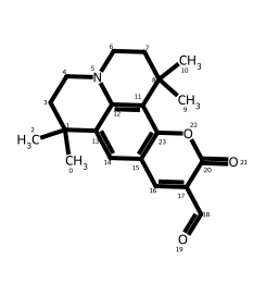 CC1(C)CCN2CCC(C)(C)c3c2c1cc1cc(C=O)c(=O)oc31